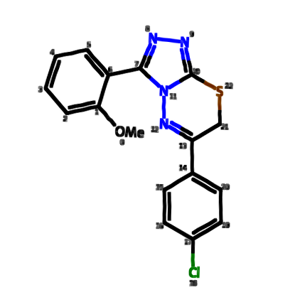 COc1ccccc1-c1nnc2n1N=C(c1ccc(Cl)cc1)CS2